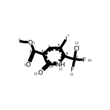 COC(=O)c1cc(I)c(C(F)(F)Cl)[nH]c1=O